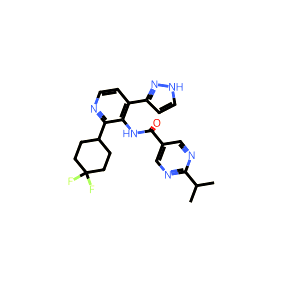 CC(C)c1ncc(C(=O)Nc2c(-c3cc[nH]n3)ccnc2C2CCC(F)(F)CC2)cn1